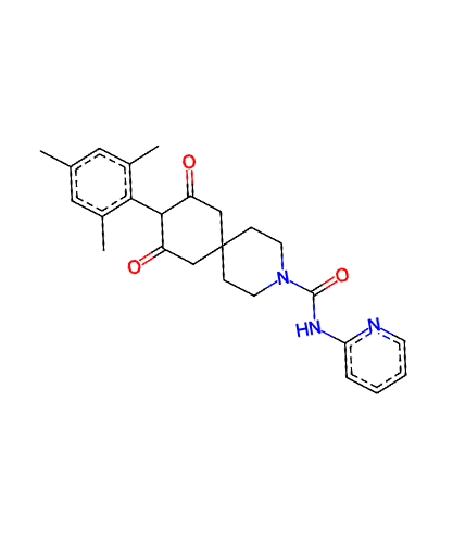 Cc1cc(C)c(C2C(=O)CC3(CCN(C(=O)Nc4ccccn4)CC3)CC2=O)c(C)c1